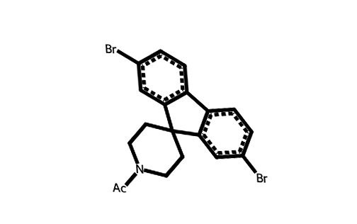 CC(=O)N1CCC2(CC1)c1cc(Br)ccc1-c1ccc(Br)cc12